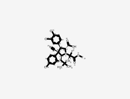 CC(C)(C)C[C@@H]1N(C(F)(F)C(=O)OF)[C@@H](C(=O)O)[C@H](c2ccc(Cl)c(Cl)c2)[C@@]1(C#N)c1ccc(Cl)cc1F